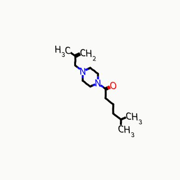 C=C(C)CN1CCN(C(=O)CCCC(C)C)CC1